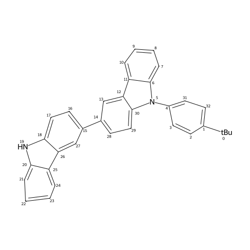 CC(C)(C)c1ccc(-n2c3ccccc3c3cc(-c4ccc5[nH]c6ccccc6c5c4)ccc32)cc1